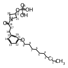 CCCCCCCCCCOc1cccc(CCC(=O)N2CC(OP(=O)(O)O)C2)c1